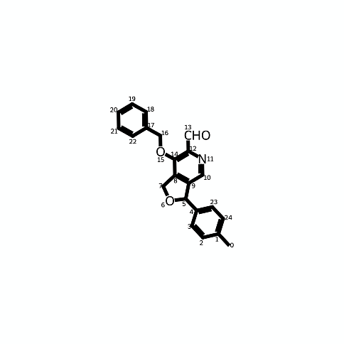 Cc1ccc(C2OCc3c2cnc(C=O)c3OCc2ccccc2)cc1